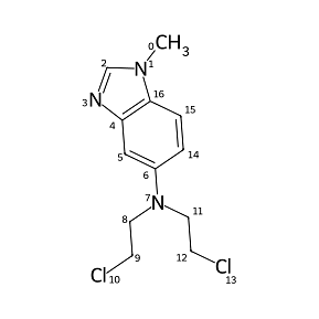 Cn1cnc2cc(N(CCCl)CCCl)ccc21